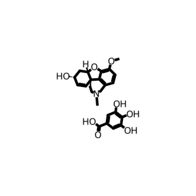 COc1ccc2c3c1O[C@H]1C[C@@H](O)C=C[C@@]31CCN(C)C2.O=C(O)c1cc(O)c(O)c(O)c1